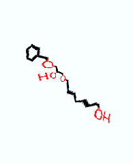 OCCCCCCCOC[C@H](O)COCc1ccccc1